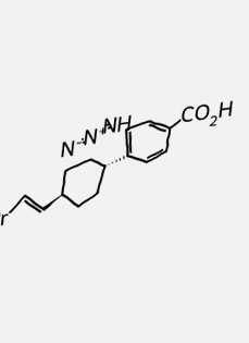 CCCC=C[C@H]1CC[C@H](c2ccc(C(=O)O)cc2)CC1.[N-]=[N+]=N